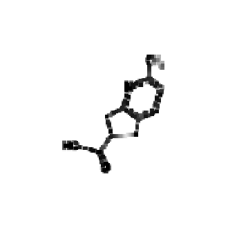 Cc1ccc2c(n1)CC(C(=O)O)C2